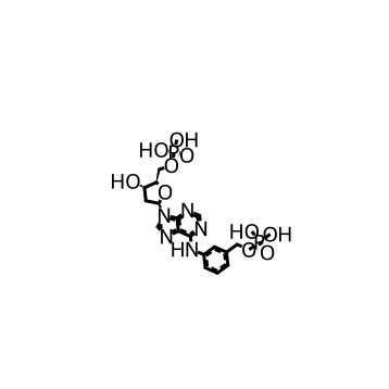 O=P(O)(O)OCc1cccc(Nc2ncnc3c2ncn3[C@H]2C[C@H](O)[C@@H](COP(=O)(O)O)O2)c1